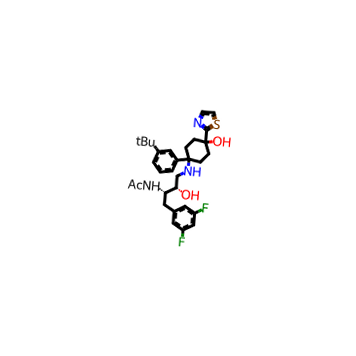 CC(=O)N[C@@H](Cc1cc(F)cc(F)c1)[C@@H](O)CNC1(c2cccc(C(C)(C)C)c2)CCC(O)(c2nccs2)CC1